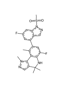 Cc1c(-c2cc(F)cc3c2cnn3S(C)(=O)=O)cc(F)c2c1-c1c(cnn1C)C(C)(C)N2